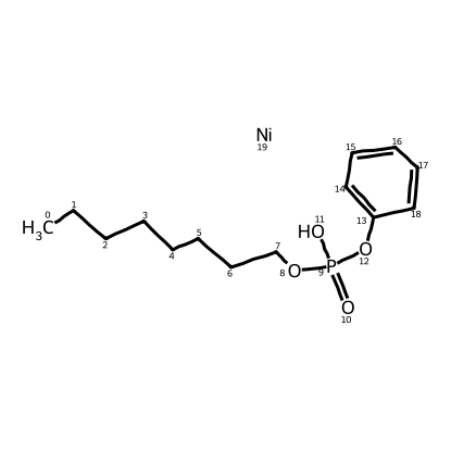 CCCCCCCCOP(=O)(O)Oc1ccccc1.[Ni]